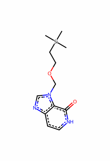 C[Si](C)(C)CCOCn1cnc2cc[nH]c(=O)c21